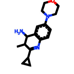 CC1C(C2CC2)=Nc2ccc(N3CCOCC3)cc2C1N